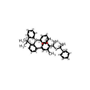 Cc1cc(-c2cccc3c2N(c2ccccc2)c2ccccc2C3(C)C)cc(C)c1C(N)SC(=N)c1ccccc1